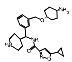 N[C@H]1CC[C@H](OCc2cccc(C(NC(=O)c3cc(C4CC4)on3)C3CCNCC3)c2)CC1